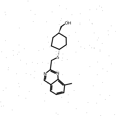 Cc1cccc2cnc(CS[C@H]3CC[C@H](CO)CC3)nc12